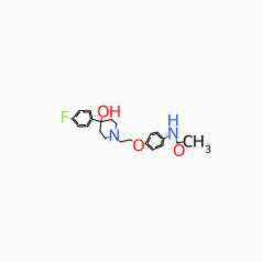 CC(=O)Nc1ccc(OCCN2CCC(O)(c3ccc(F)cc3)CC2)cc1